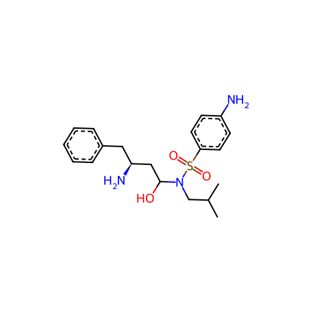 CC(C)CN(C(O)C[C@@H](N)Cc1ccccc1)S(=O)(=O)c1ccc(N)cc1